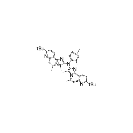 Cc1cc(C)c(N(c2nc3c4ccc(C(C)(C)C)nc4cc(C)n3c2C)c2nc3c4ccc(C(C)(C)C)nc4cc(C)n3c2C)c(C)c1